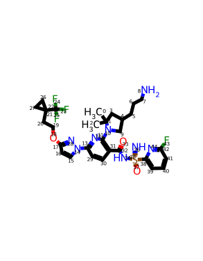 CC1(C)CC(CCCN)CN1c1nc(-n2ccc(OCCC3(C(F)(F)F)CC3)n2)ccc1C(=O)NS(=N)(=O)c1cccc(F)n1